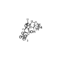 [2H]C([2H])([2H])C1=C[C@@H](c2c(O)cc(OS(=O)(=O)C(F)(F)F)cc2O)[C@H](C(=C)C)CC1